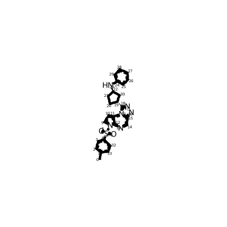 Cc1ccc(S(=O)(=O)n2ccc3c2ncc2nnc([C@@H]4CC[C@@H](Nc5ccccc5)C4)n23)cc1